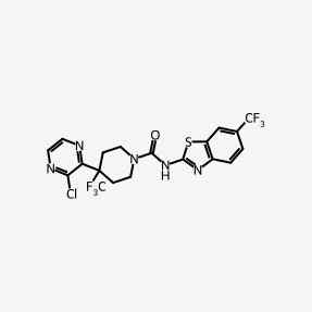 O=C(Nc1nc2ccc(C(F)(F)F)cc2s1)N1CCC(c2nccnc2Cl)(C(F)(F)F)CC1